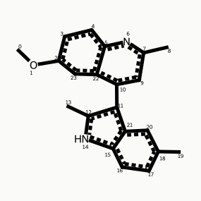 COc1ccc2nc(C)cc(-c3c(C)[nH]c4ccc(C)cc34)c2c1